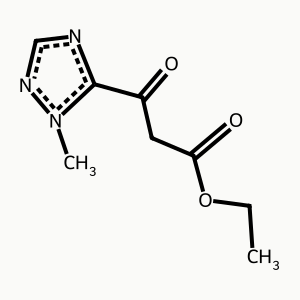 CCOC(=O)CC(=O)c1ncnn1C